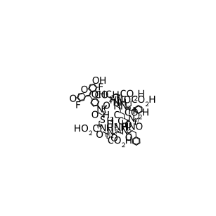 CC(CCNCC(C=O)C[C@H](NC(=O)N[C@@H](CCC(=O)O)C(=O)O)C(=O)O)CC(C)C(=O)N[C@@H](Cc1ccccc1)C(=O)NC(Cc1ccccc1)C(=O)NC[C@H](N)C(=O)N[C@@H](CC(=O)O)C(=O)N[C@@H](CSC1CC(=O)N(c2ccc(-c3c4cc(F)c(=O)cc-4oc4cc(O)c(F)cc34)c(C(=O)O)c2)C1=O)C(=O)O